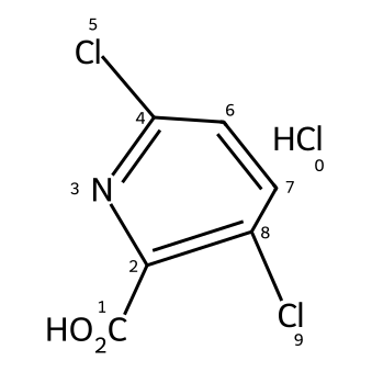 Cl.O=C(O)c1nc(Cl)ccc1Cl